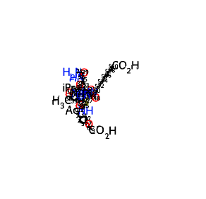 CC(=O)[C@H](Cc1ccc(OCC(=O)O)cc1)NC(=O)CSC[C@H](NC(=O)[C@H](CCCNC(N)=O)NC(=O)[C@@H](NC(=O)[C@@H](C)CC1CCCCC1)C(C)C)C(=O)NCCCCCCCCCCC(=O)O